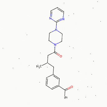 CC(CC(=O)N1CCN(c2ncccn2)CC1)Cc1cccc(C(=O)C(C)C)c1